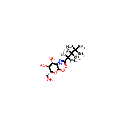 BC(B)(B)C(B)(B)C(B)(B)C(=O)N[C@H]1C(O)O[C@H](CO)[C@@H](O)[C@@H]1O